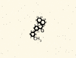 Cc1cccc(-c2ccc3c(c2)C(=O)CC2(CCCC4CCCCC42)O3)c1